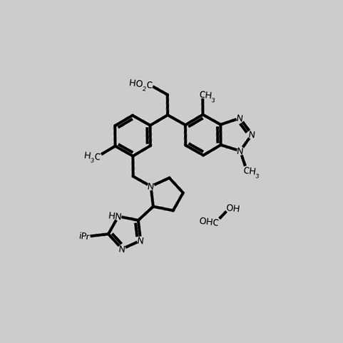 Cc1ccc(C(CC(=O)O)c2ccc3c(nnn3C)c2C)cc1CN1CCCC1c1nnc(C(C)C)[nH]1.O=CO